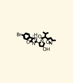 Cc1cc(C(C(=O)N2C[C@H](O)C[C@H]2C2=NC(=O)[C@@](C)(c3ccc(Br)cc3)N2)C(C)C)on1